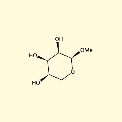 CO[C@H]1OC[C@@H](O)[C@@H](O)[C@H]1O